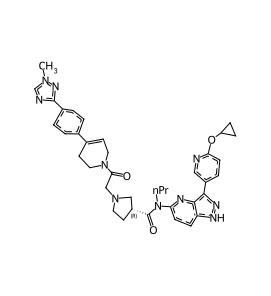 CCCN(C(=O)[C@@H]1CCN(CC(=O)N2CC=C(c3ccc(-c4ncn(C)n4)cc3)CC2)C1)c1ccc2[nH]nc(-c3ccc(OC4CC4)nc3)c2n1